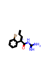 C=C/C=C(/C(=O)NC(=N)N)c1ccccc1Br